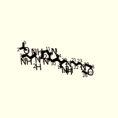 CC(C)OC(/C=C(\N)Nc1ccc2ncc(/C(C=N)=C/NCCCN3CCOCC3)cc2n1)=C/N